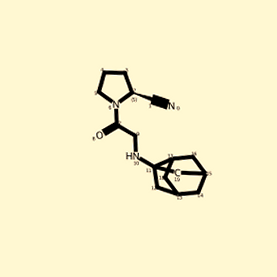 N#C[C@@H]1CCCN1C(=O)CNC12CC3CC(CC1C3)C2